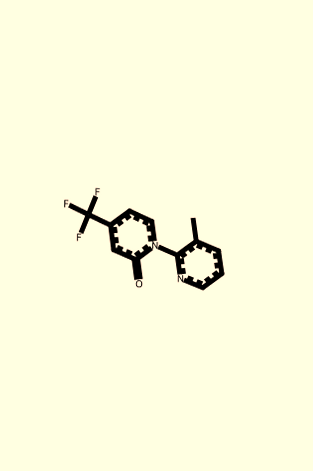 Cc1cccnc1-n1ccc(C(F)(F)F)cc1=O